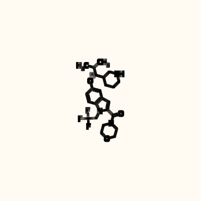 CC(C)[C@@H](Oc1ccc2c(c1)cc(C(=O)N1CCOCC1)n2CC(F)(F)F)C1CCCNC1